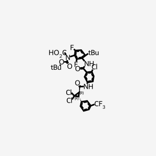 CC(C)(C)OC(=O)N(C(=O)O)c1c(F)cc(C(C)(C)C)c(NC(=O)c2cc(NC(=O)[C@H]3[C@H](c4cccc(C(F)(F)F)c4)C3(Cl)Cl)ccc2Cl)c1F